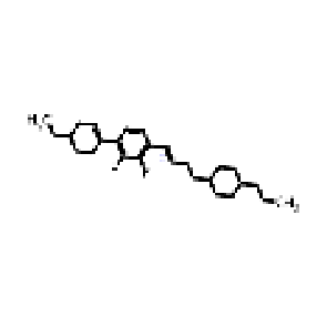 CCCC1CCC(CC/C=C/c2ccc(C3=CCC(CC)CC3)c(F)c2F)CC1